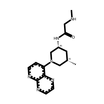 CNCC(=O)N[C@@H]1C[C@H](C)CN(c2ccnc3nccnc23)C1